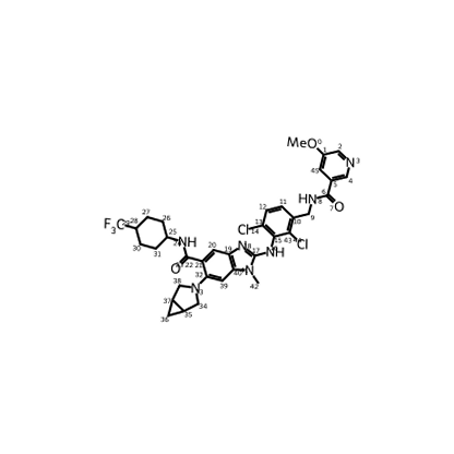 COc1cncc(C(=O)NCc2ccc(Cl)c(Nc3nc4cc(C(=O)NC5CCC(C(F)(F)F)CC5)c(N5CC6CC6C5)cc4n3C)c2Cl)c1